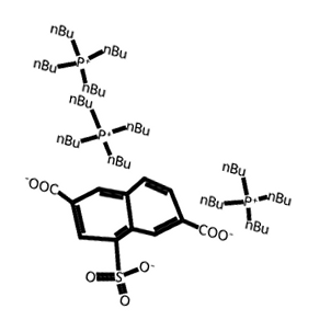 CCCC[P+](CCCC)(CCCC)CCCC.CCCC[P+](CCCC)(CCCC)CCCC.CCCC[P+](CCCC)(CCCC)CCCC.O=C([O-])c1cc(S(=O)(=O)[O-])c2cc(C(=O)[O-])ccc2c1